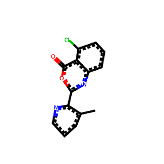 Cc1cccnc1-c1nc2cccc(Cl)c2c(=O)o1